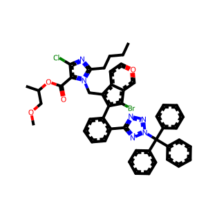 CCCCc1nc(Cl)c(C(=O)OC(C)COC)n1Cc1c2ccocc-2c(Br)c1-c1ccccc1-c1nnn(C(c2ccccc2)(c2ccccc2)c2ccccc2)n1